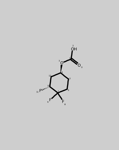 O=C(O)O[C@H]1CCC(F)(F)[C@H](F)C1